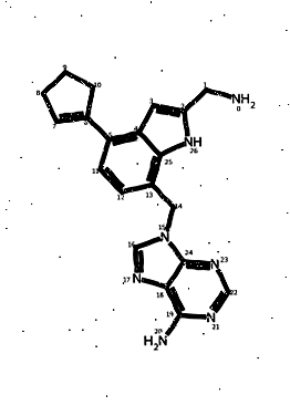 NCc1cc2c(C3=CCCC3)ccc(Cn3cnc4c(N)ncnc43)c2[nH]1